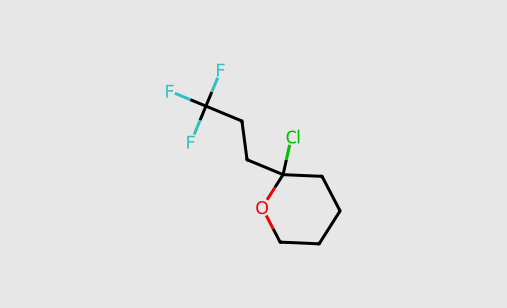 FC(F)(F)CCC1(Cl)CCCCO1